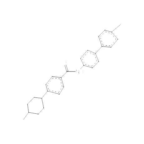 Cc1ccc(-c2ccc(NC(=O)c3ccc(C4CCC(C)CC4)cc3)cc2)cc1